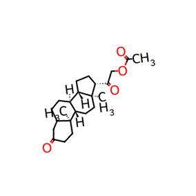 CC(=O)OCC(=O)[C@H]1CC[C@H]2[C@@H]3CCC4CC(=O)CC[C@]4(C)[C@H]3CC[C@]12C